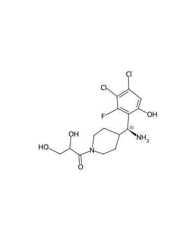 N[C@H](c1c(O)cc(Cl)c(Cl)c1F)C1CCN(C(=O)C(O)CO)CC1